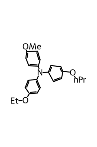 CCCOc1ccc(N(c2ccc(OC)cc2)c2ccc(OCC)cc2)cc1